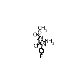 CCOC(=O)c1cn2c(Cl)c(-c3ccc(F)cc3)nc(N)c2n1